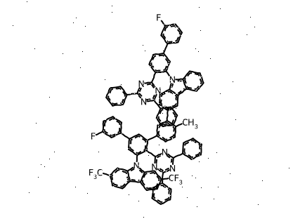 Cc1ccc(-c2cc(-c3cccc(F)c3)cc(-n3c4cc(C(F)(F)F)ccc4c4ccc(C(F)(F)F)cc43)c2-c2nc(-c3ccccc3)nc(-c3ccccc3)n2)cc1-c1ccc2c(c1)c1ccccc1n2-c1cc(-c2cccc(F)c2)ccc1-c1nc(-c2ccccc2)nc(-c2ccccc2)n1